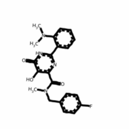 CN(Cc1ccc(F)cc1)C(=O)c1nc(-c2ccccc2N(C)C)[nH]c(=O)c1O